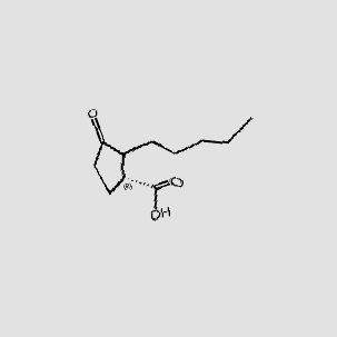 CCCCCC1C(=O)CC[C@H]1C(=O)O